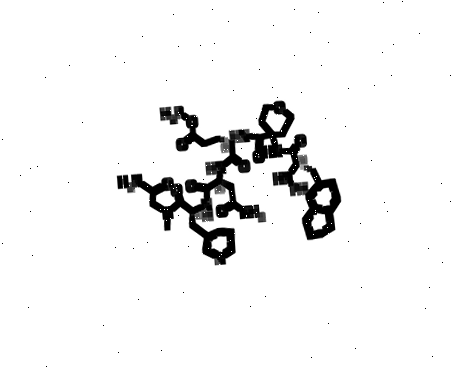 CN(CC(N)=O)C(=O)[C@H](Cc1cccnc1)NC(=O)[C@H](CC(N)=O)NC(=O)[C@H](CCC(=O)OP)NC(=O)C1(NC(=O)[C@H](Cc2ccc3ccccc3c2)NP)CCOCC1